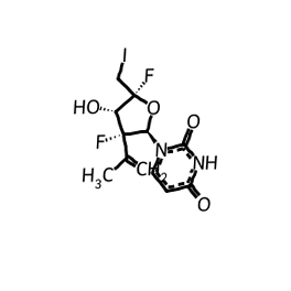 C=C(C)[C@]1(F)[C@H](n2ccc(=O)[nH]c2=O)O[C@](F)(CI)[C@H]1O